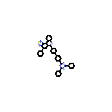 c1ccc(-c2nc(-c3ccccc3)nc(-c3ccc(-c4ccc(-c5nc6ccccc6c6c5cc(-c5ccccc5)c5nsnc56)cc4)cc3)n2)cc1